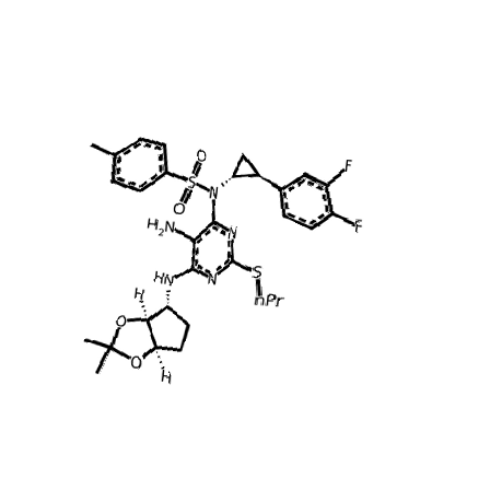 CCCSc1nc(N[C@@H]2CC[C@H]3OC(C)(C)O[C@@H]23)c(N)c(N([C@@H]2C[C@H]2c2ccc(F)c(F)c2)S(=O)(=O)c2ccc(C)cc2)n1